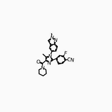 Cc1c(C(=O)N2CCCCC2)nc(-c2ccc(C#N)c(F)c2)n1-c1ccc2nn(C)cc2c1